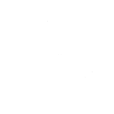 O=C(C=Cc1ccccc1)CCCCOCCCCC(=O)C=Cc1ccccc1